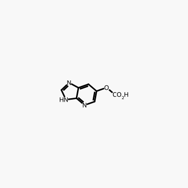 O=C(O)Oc1cnc2[nH]cnc2c1